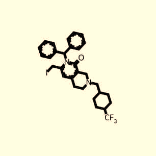 O=c1c2c(cc(CI)n1C(c1ccccc1)c1ccccc1)CCN(CC1CCC(C(F)(F)F)CC1)C2